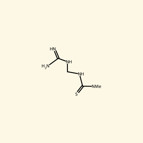 CNC(=S)NCNC(=N)N